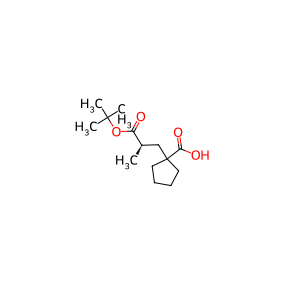 C[C@H](CC1(C(=O)O)CCCC1)C(=O)OC(C)(C)C